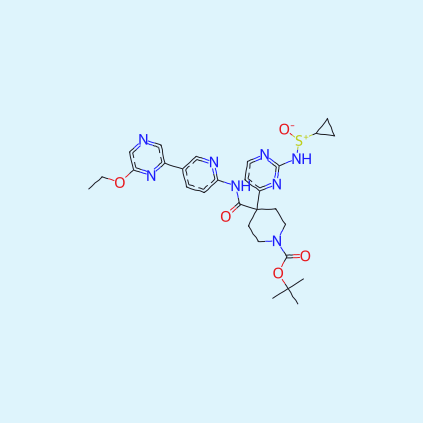 CCOc1cncc(-c2ccc(NC(=O)C3(c4ccnc(N[S+]([O-])C5CC5)n4)CCN(C(=O)OC(C)(C)C)CC3)nc2)n1